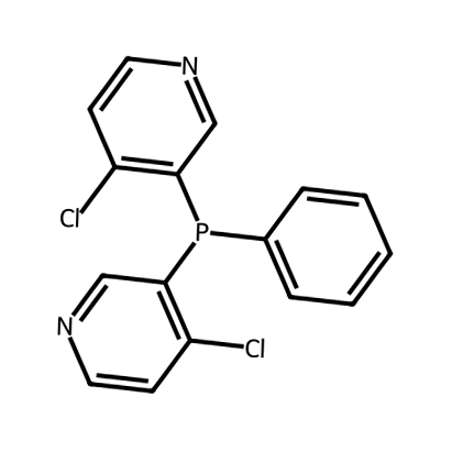 Clc1ccncc1P(c1ccccc1)c1cnccc1Cl